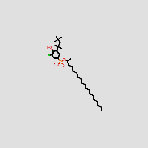 CCCCCCCCCCCCCCCCCC(C)OP(=O)(O)c1cc(Cl)c(O)c(C(C)(C)CC(C)(C)C)c1